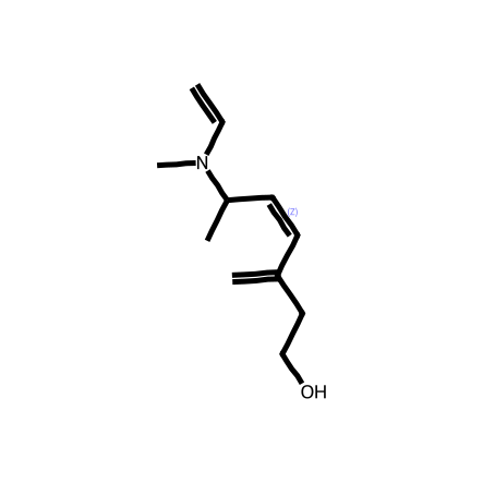 C=CN(C)C(C)/C=C\C(=C)CCO